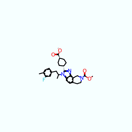 COC(=O)N1CCc2ccc3c(nc([C@H]4CC[C@H](C(=O)OC)CC4)n3C(C)Cc3ccc(C)c(F)c3)c2C1